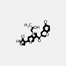 C[C@H](O)Cn1cc(C(=O)[C@@H]2COc3ccc(Cl)cc3C2)c2cnc(-c3cn[nH]c3Cl)cc21